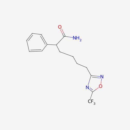 NC(=O)C(CCCCc1noc(C(F)(F)F)n1)c1ccccc1